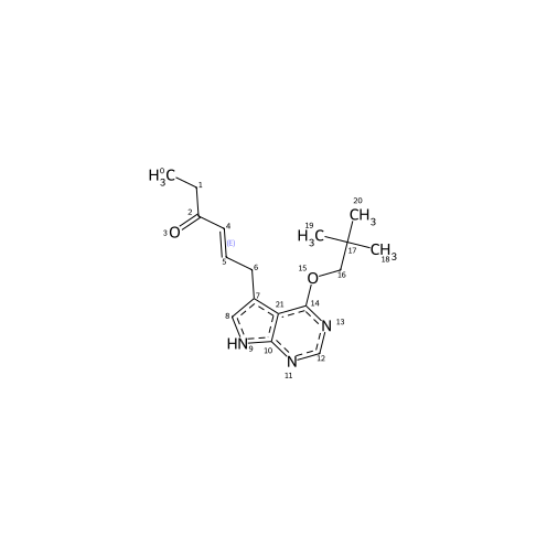 CCC(=O)/C=C/Cc1c[nH]c2ncnc(OCC(C)(C)C)c12